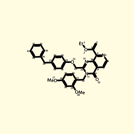 C=C(OCC)c1nccc2c(=O)n(Cc3ccc(OC)cc3OC)c(COc3ccc(Cc4ccccc4)cc3)nc12